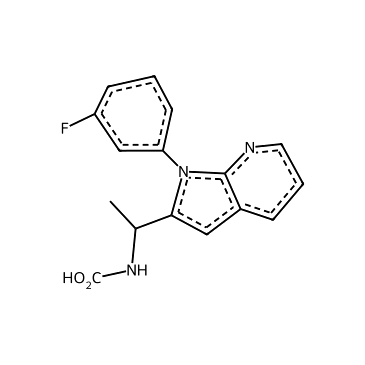 CC(NC(=O)O)c1cc2cccnc2n1-c1cccc(F)c1